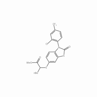 CCCCC(Sc1ccc2c(c1)sc(=O)n2-c1ccc(C(F)(F)F)cc1Cl)C(=O)OC